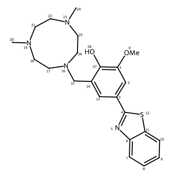 COc1cc(-c2nc3ccccc3s2)cc(CN2CCN(C)CCN(C)CC2)c1O